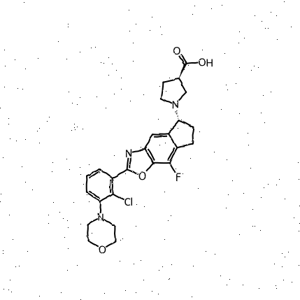 O=C(O)[C@@H]1CCN([C@@H]2CCc3c2cc2nc(-c4cccc(N5CCOCC5)c4Cl)oc2c3F)C1